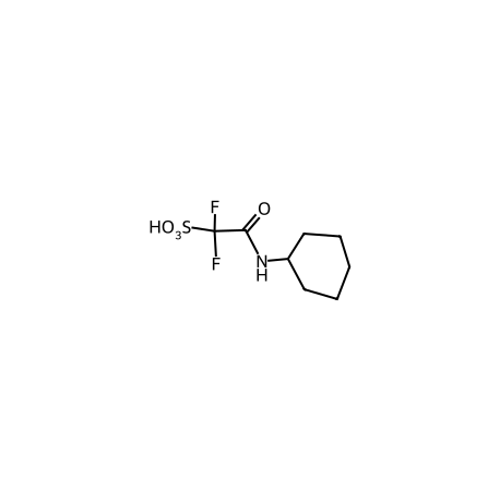 O=C(NC1CCCCC1)C(F)(F)S(=O)(=O)O